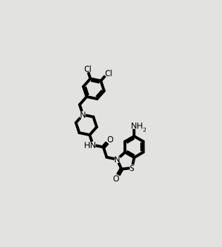 Nc1ccc2sc(=O)n(CC(=O)NC3CCN(Cc4ccc(Cl)c(Cl)c4)CC3)c2c1